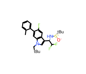 Cc1ccccc1-c1cc2c(cc1F)c([C@H](N[S@@+]([O-])C(C)(C)C)C(F)F)cn2CC(C)(C)C